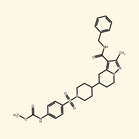 COC(=O)Nc1ccc(S(=O)(=O)N2CCC(C3CCn4nc(C)c(C(=O)NCc5ccccc5)c4C3)CC2)cc1